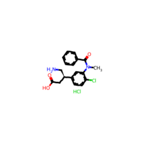 CN(C(=O)c1ccccc1)c1cc([C@H](CN)CC(=O)O)ccc1Cl.Cl